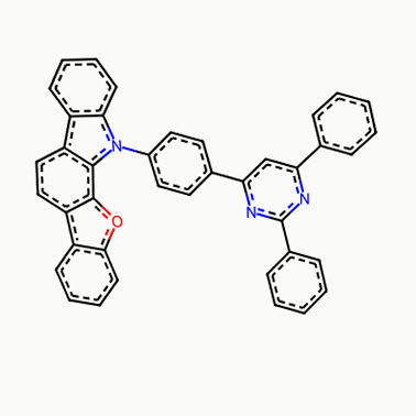 c1ccc(-c2cc(-c3ccc(-n4c5ccccc5c5ccc6c7ccccc7oc6c54)cc3)nc(-c3ccccc3)n2)cc1